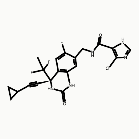 CC(F)(F)[C@@]1(C#CC2CC2)NC(=O)Nc2cc(CNC(=O)c3[nH]cnc3Cl)c(F)cc21